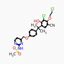 CC(C)(c1ccc(OCc2ccnc(NS(C)(=O)=O)n2)cc1)c1cc(C#N)c(OCCCl)c(Cl)c1O